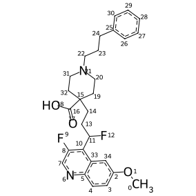 COc1ccc2ncc(F)c(C(F)CCC3(C(=O)O)CCN(CCCc4ccccc4)CC3)c2c1